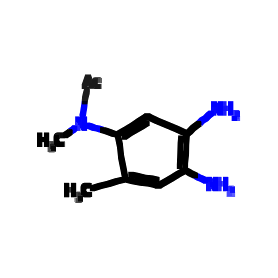 CC(=O)N(C)c1cc(N)c(N)cc1C